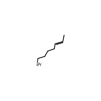 [CH2]C(C)CCCCC=CC